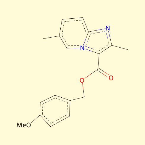 COc1ccc(COC(=O)c2c(C)nc3ccc(C)cn23)cc1